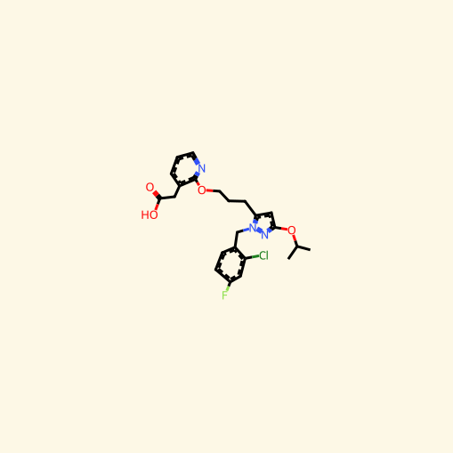 CC(C)Oc1cc(CCCOc2ncccc2CC(=O)O)n(Cc2ccc(F)cc2Cl)n1